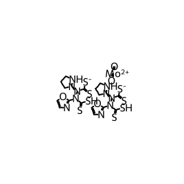 S=C(S)N(c1ncco1)N(C(=S)[S-])N1CCCN1.S=C(S)N(c1ncco1)N(C(=S)[S-])N1CCCN1.[O]=[Mo+2]=[O]